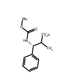 CC(C(=O)O)[C@@H](NC(=O)OC(C)(C)C)c1ccccc1